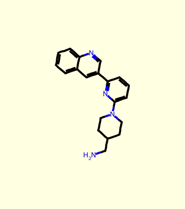 NCC1CCN(c2cccc(-c3cnc4ccccc4c3)n2)CC1